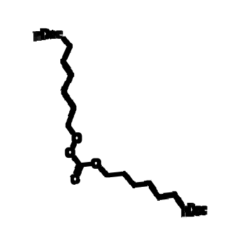 CCCCCCCCCCCCCCCCOOC(=O)OCCCCCCCCCCCCCCCC